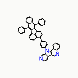 c1ccc(-c2c3c(c(-c4ccccc4)c4ccccc24)-c2ccc(-c4ccc(-n5c6cnccc6c6cnc7ccccc7c65)cc4)c4cccc-3c24)cc1